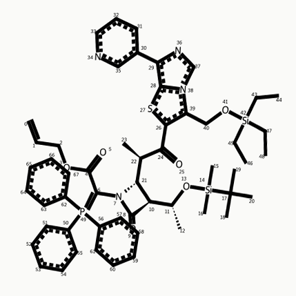 C=CCOC(=O)C(N1C(=O)[C@H]([C@@H](C)O[Si](C)(C)C(C)(C)C)[C@H]1[C@@H](C)C(=O)c1sc2c(-c3cccnc3)ncn2c1CO[Si](CC)(CC)CC)=P(c1ccccc1)(c1ccccc1)c1ccccc1